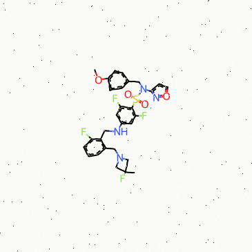 COc1ccc(CN(c2ccon2)S(=O)(=O)c2c(F)cc(NCc3c(F)cccc3CN3CC(C)(F)C3)cc2F)cc1